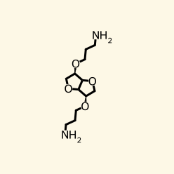 NCCCO[C@@H]1COC2C1OC[C@H]2OCCCN